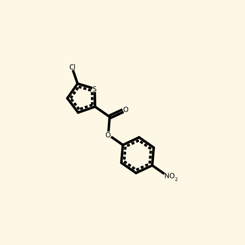 O=C(Oc1ccc([N+](=O)[O-])cc1)c1ccc(Cl)s1